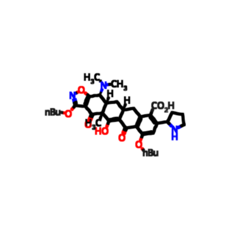 CCCCOc1cc(C2CCCN2)c(C(=O)O)c2c1C(=O)C1=C(O)[C@]3(C)C(=O)c4c(OCCCC)noc4[C@@H](N(C)C)[C@@H]3C[C@@H]1C2